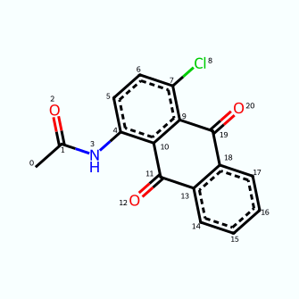 CC(=O)Nc1ccc(Cl)c2c1C(=O)c1ccccc1C2=O